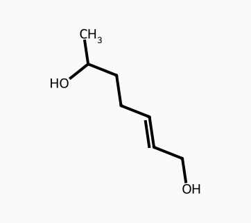 CC(O)CC/C=C/CO